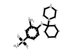 NS(=O)(=O)c1ccc(OC2(N3CCOCC3)CCCCC2)c([N+](=O)[O-])c1